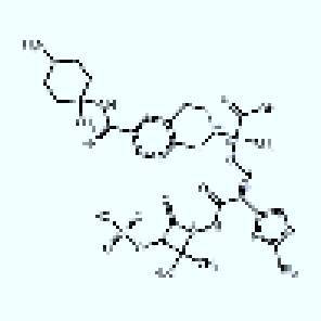 CC1(NC(=N)c2ccc3c(c2)CC[C@H]([C@](C)(O/N=C(\C(=O)N[C@@H]2C(=O)N(OS(=O)(=O)O)C2(C)C)c2csc(N)n2)C(=O)O)O3)CCC(N)CC1